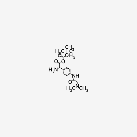 CN(C)CC(=O)Nc1ccc([C@@H](N)C(=O)OC(=O)OC(C)(C)C)cc1